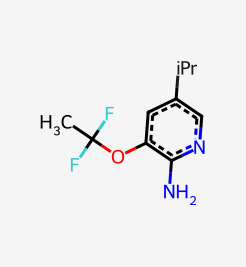 CC(C)c1cnc(N)c(OC(C)(F)F)c1